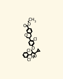 CCOC(=O)c1ccc2c(c1)OCC(c1ccc(OCc3c(-c4c(Cl)cccc4Cl)noc3C3CC3)cc1Cl)C2